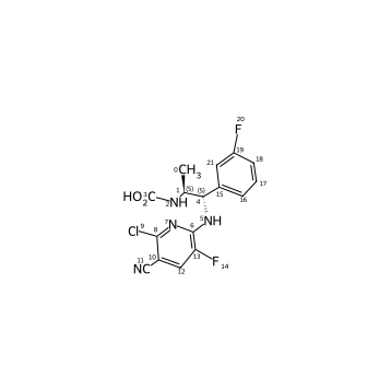 C[C@H](NC(=O)O)[C@@H](Nc1nc(Cl)c(C#N)cc1F)c1cccc(F)c1